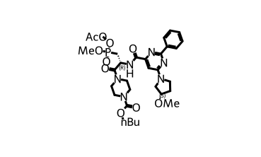 CCCCOC(=O)N1CCN(C(=O)[C@H](CP(=O)(OC)OOC(C)=O)NC(=O)c2cc(N3CC[C@H](OC)C3)nc(-c3ccccc3)n2)CC1